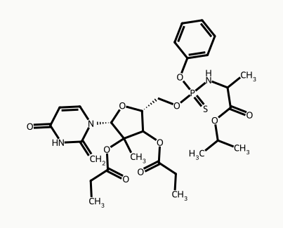 C=C1NC(=O)C=CN1[C@@H]1O[C@H](COP(=S)(NC(C)C(=O)OC(C)C)Oc2ccccc2)C(OC(=O)CC)C1(C)OC(=O)CC